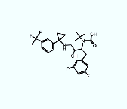 CC(C)(C)N(C(=O)O)[C@@H](Cc1cc(F)cc(F)c1)[C@@H](O)CNC1(c2cccc(C(F)(F)F)c2)CC1